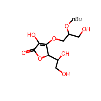 CCCCOC(CO)COC1=C(O)C(=O)O[C@@H]1[C@@H](O)CO